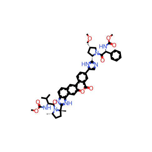 COC[C@H]1C[C@@H](c2ncc(-c3ccc4c(c3)c(=O)oc3cc5c(ccc6nc([C@]7(C)CC[C@H](C)N7C(=O)[C@@H](NC(=O)OC)C(C)C)[nH]c65)cc34)[nH]2)N(C(=O)[C@H](NC(=O)OC)c2ccccc2)C1